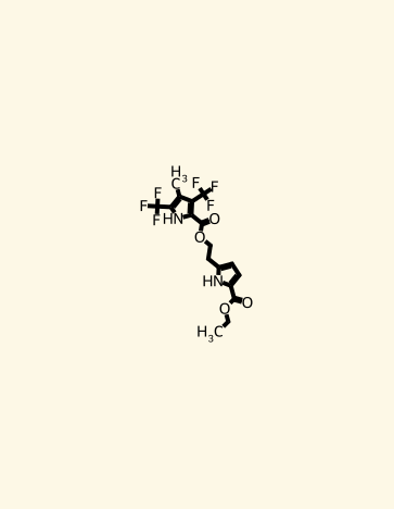 CCOC(=O)c1ccc(CCOC(=O)c2[nH]c(C(F)(F)F)c(C)c2C(F)(F)F)[nH]1